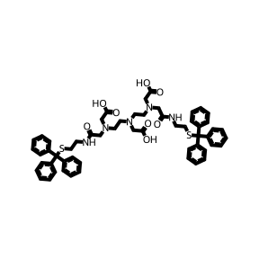 O=C(O)CN(CCN(CC(=O)O)CC(=O)NCCSC(c1ccccc1)(c1ccccc1)c1ccccc1)CCN(CC(=O)O)CC(=O)NCCSC(c1ccccc1)(c1ccccc1)c1ccccc1